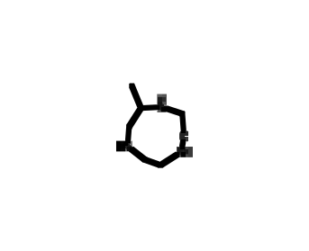 CC1CNCCNCCN1